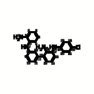 Nc1ccccc1Nc1cccc(-c2cccc(Nc3ccc(Cl)cc3)c2N)c1